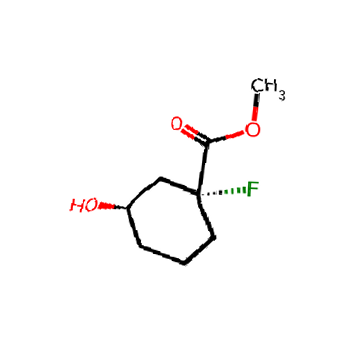 COC(=O)[C@@]1(F)CCC[C@@H](O)C1